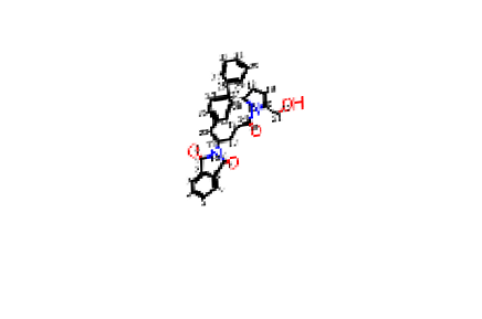 O=C1c2ccccc2C(=O)N1C(CCC(=O)N1CCC[C@H]1CO)Cc1ccc(-c2ccccc2)cc1